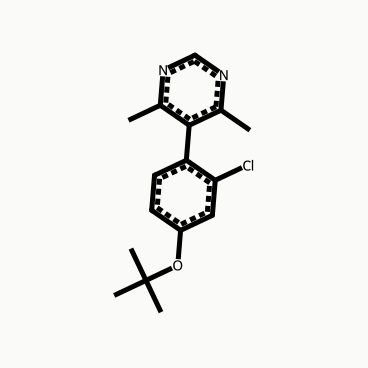 Cc1ncnc(C)c1-c1ccc(OC(C)(C)C)cc1Cl